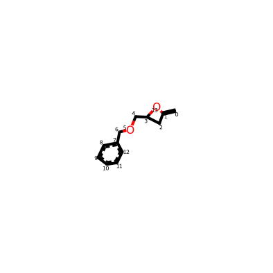 C=C1CC(COCc2ccccc2)O1